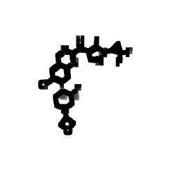 Cc1c(Nc2ncc3cc(Cl)c([C@H]4CCN(C5COC5)C[C@@H]4F)cc3n2)cnn1C1CC1(F)F